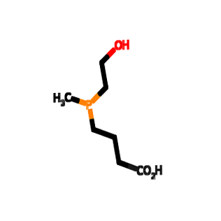 CP(CCO)CCCC(=O)O